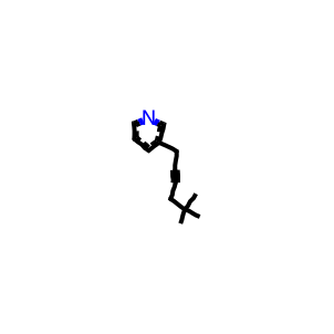 CC(C)(C)CC#CCc1cccnc1